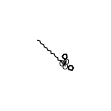 CCCCCCCCCCCCCCOP(Oc1ccccc1)Oc1ccccc1